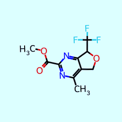 COC(=O)c1nc(C)c2c(n1)C(C(F)(F)F)OC2